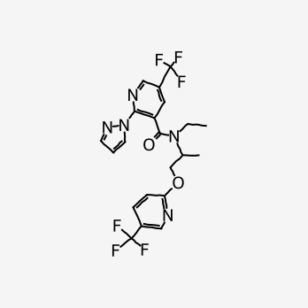 CCN(C(=O)c1cc(C(F)(F)F)cnc1-n1cccn1)C(C)COc1ccc(C(F)(F)F)cn1